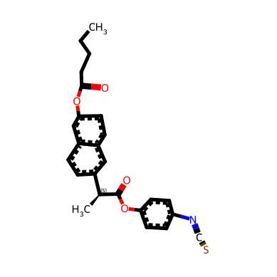 CCCCC(=O)Oc1ccc2cc([C@H](C)C(=O)Oc3ccc(N=C=S)cc3)ccc2c1